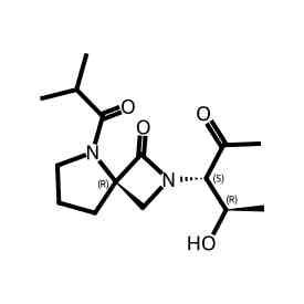 CC(=O)[C@H]([C@@H](C)O)N1C[C@]2(CCCN2C(=O)C(C)C)C1=O